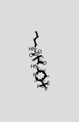 CCCCNS(=O)(=O)C(C)(C)C(=O)Nc1ccc(C(F)(F)F)cn1